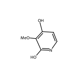 COc1c(O)ccnc1O